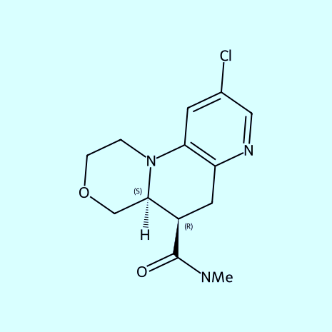 CNC(=O)[C@@H]1Cc2ncc(Cl)cc2N2CCOC[C@H]12